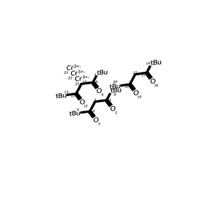 CC(C)(C)C(=O)CC(=O)C(C)(C)C.CC(C)(C)C(=O)CC(=O)C(C)(C)C.CC(C)(C)C(=O)CC(=O)C(C)(C)C.[Cr+3].[Cr+3].[Cr+3]